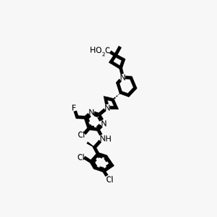 C[C@@H](Nc1nc(N2CC([C@H]3CCCN(C4CC(C)(C(=O)O)C4)C3)C2)nc(CF)c1Cl)c1ccc(Cl)cc1Cl